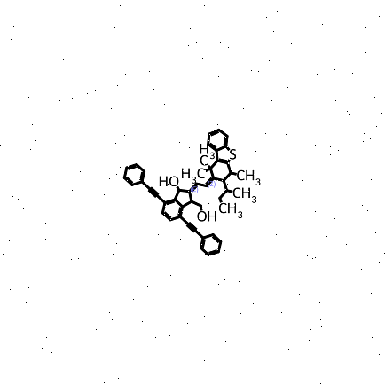 CCC(C)C1/C(=C/C=C2/C(O)c3c(C#Cc4ccccc4)ccc(C#Cc4ccccc4)c3C2CO)C(C)(C)c2c(sc3ccccc23)C1C